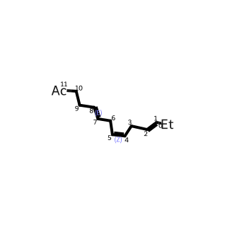 CCC=CC/C=C\C/C=C/CCC(C)=O